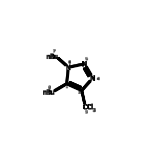 CCCCc1c(C(Cl)(Cl)Cl)nnn1CCCC